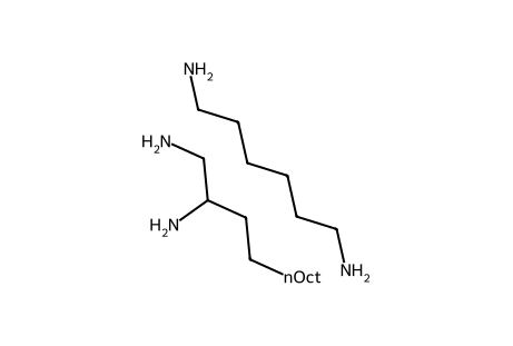 CCCCCCCCCCC(N)CN.NCCCCCCN